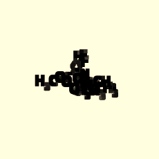 CCOC(=O)CCc1ccc(C(F)(F)F)cc1C(=O)N=c1cc(C(C)(C)C)n(C)n1C[C@H]1CCCO1